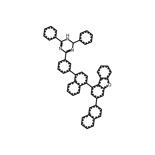 c1ccc(C2=NC(c3cccc(-c4ccc(-c5cc(-c6ccc7ccccc7c6)cc6oc7ccccc7c56)c5ccccc45)c3)=NC(c3ccccc3)N2)cc1